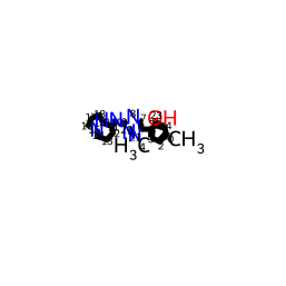 Cc1cc(C)c(-c2cnc(NC3CCCN4CCCC34)nn2)c(O)c1